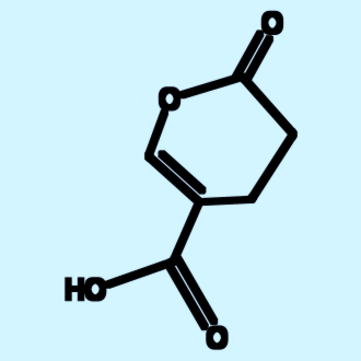 O=C1CCC(C(=O)O)=CO1